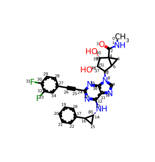 CNC(=O)C12CC1[C@@H](n1cnc3c(N[C@@H]4CC4c4ccccc4)nc(C#Cc4ccc(F)c(F)c4)nc31)[C@H](O)[C@@H]2O